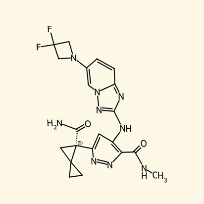 CNC(=O)c1nnc([C@]2(C(N)=O)CC23CC3)cc1Nc1nc2ccc(N3CC(F)(F)C3)cn2n1